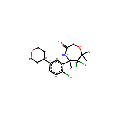 CC1(C)OCC(=O)NC(C)(c2cc(C3CCOCC3)ccc2F)C1(F)F